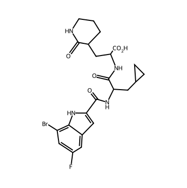 O=C(NC(CC1CC1)C(=O)NC(CC1CCCNC1=O)C(=O)O)c1cc2cc(F)cc(Br)c2[nH]1